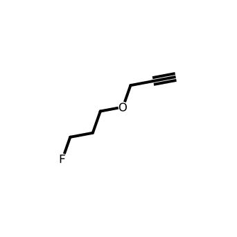 C#CCOCCCF